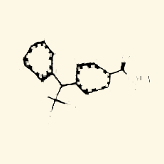 O=C(O)c1ccc(C(c2ccccc2)C(F)(F)F)cc1